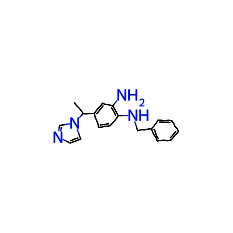 CC(c1ccc(NCc2ccccc2)c(N)c1)n1ccnc1